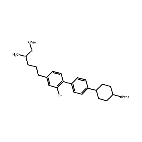 CCCCCC1CCC(c2ccc(-c3ccc(CCCN(C)SOC)cc3CC)cc2)CC1